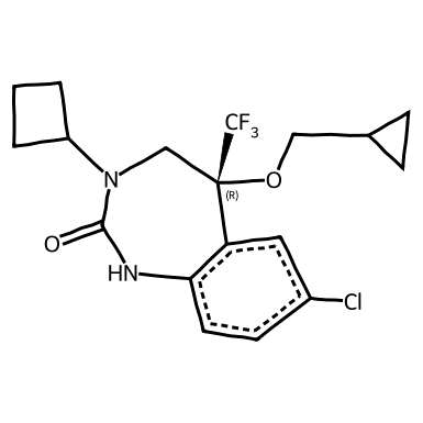 O=C1Nc2ccc(Cl)cc2[C@](OCC2CC2)(C(F)(F)F)CN1C1CCC1